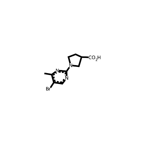 Cc1nc(N2CCC(C(=O)O)C2)ncc1Br